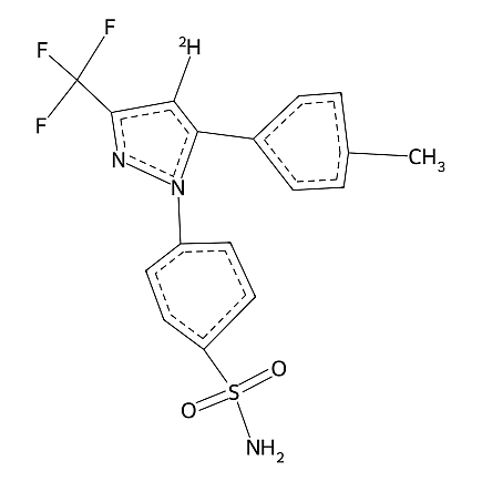 [2H]c1c(C(F)(F)F)nn(-c2ccc(S(N)(=O)=O)cc2)c1-c1ccc(C)cc1